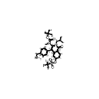 CC(C)Cn1c(N(C)C(=O)OC(C)(C)C)c(-c2ccc(CN)cc2)c2cc(OS(=O)(=O)C(F)(F)F)ccc2c1=O